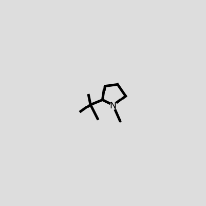 CN1CCCC1C(C)(C)C